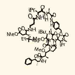 CCC(C)C(C)(CC)SC(CC(=O)OC)C(=O)NCCC(=O)N[C@H](C(=O)N[C@@H](C)C(=O)Nc1ccc(COC(=O)N(C)[C@H](C(=O)N[C@H](C(=O)N(C)[C@@H]([C@@H](C)CC)[C@@H](CC(=O)N2CCC[C@H]2[C@H](OC)[C@@H](C)C(=O)N[C@H](C)[C@@H](O)c2ccccc2)OC)C(C)C)C(C)C)cc1)C(C)C